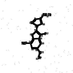 CCOC(=O)c1cnn(-c2sc3c(C#N)cc(OC(C)C)cc3c2F)c1